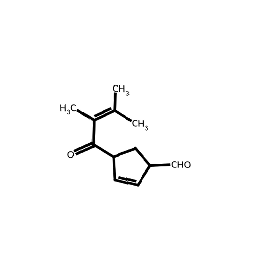 CC(C)=C(C)C(=O)C1C=CC(C=O)C1